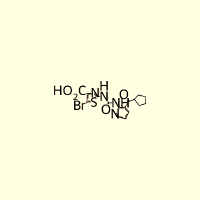 O=C(Nc1nc(C(=O)O)c(Br)s1)Nc1ncccc1C(=O)C1CCCC1